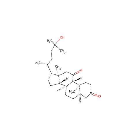 C[C@H](CCC(C)(C)O)[C@H]1CC[C@H]2[C@@H]3CC[C@H]4CC(=O)CC[C@]4(C)[C@H]3C(=O)C[C@]12C